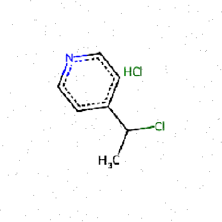 CC(Cl)c1ccncc1.Cl